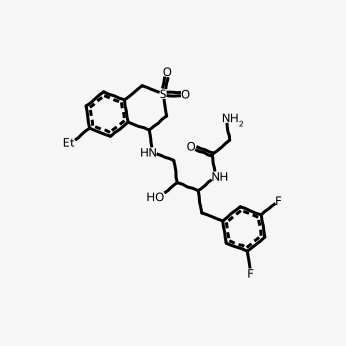 CCc1ccc2c(c1)C(NCC(O)C(Cc1cc(F)cc(F)c1)NC(=O)CN)CS(=O)(=O)C2